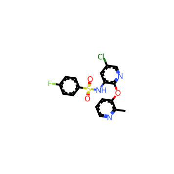 Cc1ncccc1Oc1ncc(Cl)cc1NS(=O)(=O)c1ccc(F)cc1